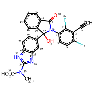 C#Cc1c(F)ccc(N2C(=O)c3ccccc3C2(O)c2ccc3[nH]c(N(C)C(=O)O)nc3c2)c1F